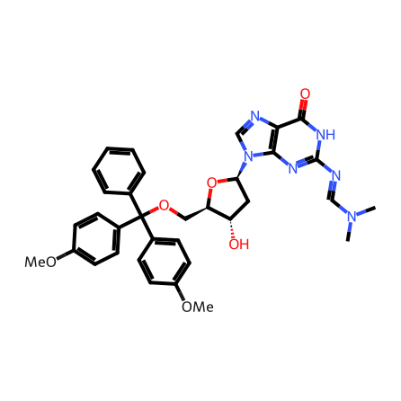 COc1ccc(C(OC[C@H]2O[C@@H](n3cnc4c(=O)[nH]c(N=CN(C)C)nc43)C[C@@H]2O)(c2ccccc2)c2ccc(OC)cc2)cc1